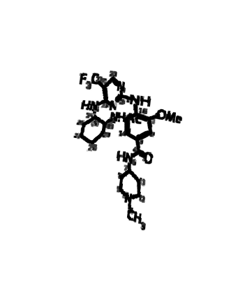 COc1cc(C(=O)NC2CCN(C)CC2)ccc1Nc1ncc(C(F)(F)F)c(N[C@H]2CCCC[C@@H]2NC(C)=O)n1